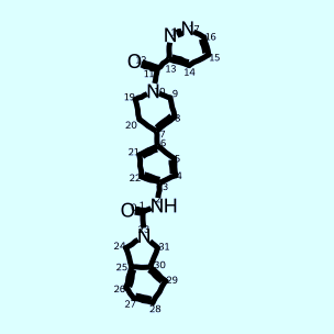 O=C(Nc1ccc(C2=CCN(C(=O)c3cccnn3)CC2)cc1)N1Cc2ccccc2C1